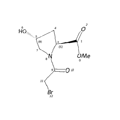 COC(=O)[C@@H]1C[C@@H](O)CN1C(=O)CBr